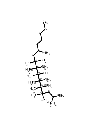 BC(C)(CC(N)CCCCC(C)(C)C)C(N)(P)C(B)(C)C(N)(P)C(B)(C)C(C)(P)CC(N)C(C)(C)C